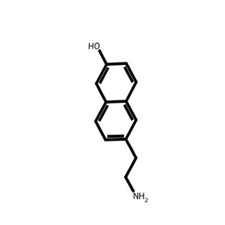 NCCc1ccc2cc(O)ccc2c1